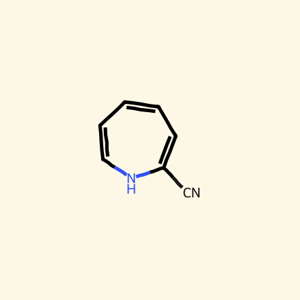 N#CC1=CC=CC=CN1